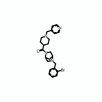 O=C(C1CCN(Cc2ccncc2)CC1)N1CC2CC1CN2Cc1ccccc1Br